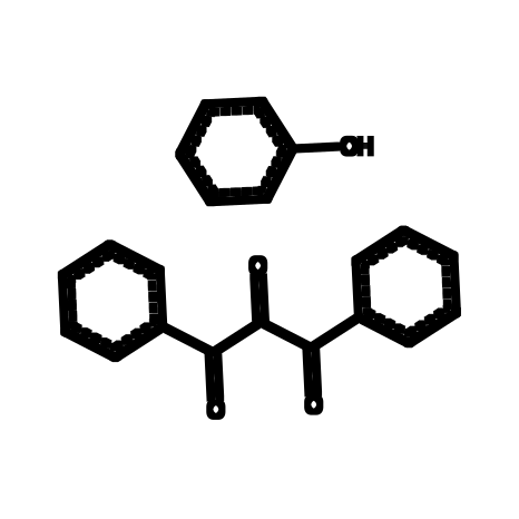 O=C(C(=O)c1ccccc1)C(=O)c1ccccc1.Oc1ccccc1